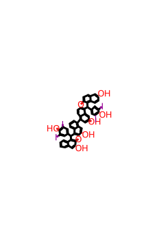 Oc1ccc2c3c(ccc2c1)Oc1ccc2c(-c4cccc5c6c(c(O)cc45)Oc4c(O)cc5ccccc5c4C6c4cc(I)c(O)c(I)c4)cc(O)cc2c1C3c1cc(I)c(O)c(I)c1